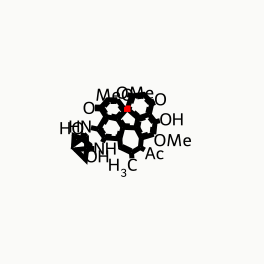 COc1c(O)c2c(=O)cc(OC)c3c4c(OC)cc(=O)c5c(NC6(CO)CC6)c(NC6(CO)CC6)c6c(c(c1C(C(C)=O)C(C)=C6)c23)c54